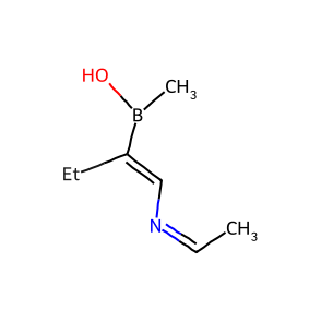 C/C=N\C=C(/CC)B(C)O